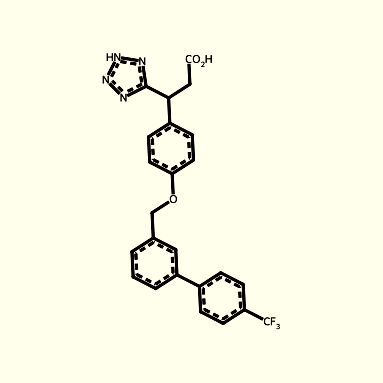 O=C(O)CC(c1ccc(OCc2cccc(-c3ccc(C(F)(F)F)cc3)c2)cc1)c1nn[nH]n1